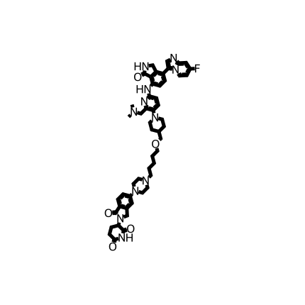 CN(C)Cc1nc(Nc2ccc(-c3cnc4cc(F)ccn34)c3c2C(=O)NC3)ccc1N1CCC(COCCCCCN2CCN(c3ccc4c(c3)CN(C3CCC(=O)NC3=O)C4=O)CC2)CC1